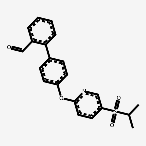 CC(C)S(=O)(=O)c1ccc(Oc2ccc(-c3ccccc3C=O)cc2)nc1